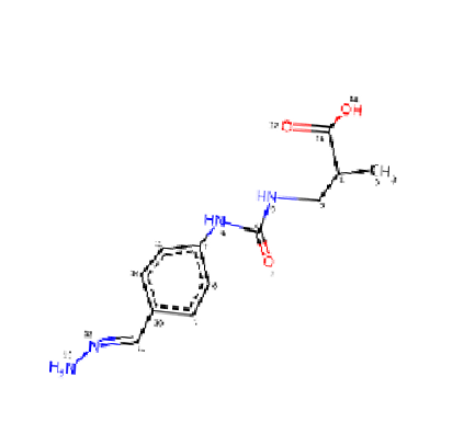 CC(CNC(=O)Nc1ccc(C=NN)cc1)C(=O)O